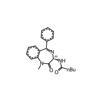 CCCCC(=O)N[C@@H]1N=C(c2ccccc2)c2ccccc2N(C)C1=O